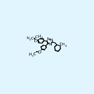 CCOc1ccc(-c2nc(CC3CCCCC3C)nnc2-c2ccc(OC(C)C)cc2)cc1